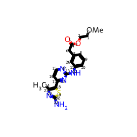 COCCOC(=O)Cc1cccc(Nc2nccc(-c3sc(N)nc3C)n2)c1